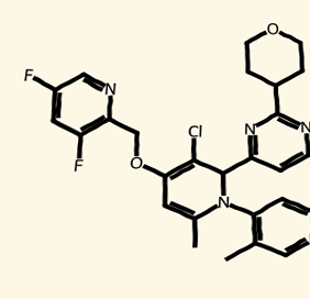 CC1=CC(OCc2ncc(F)cc2F)=C(Cl)C(c2ccnc(C3CCOCC3)n2)N1c1ccncc1C